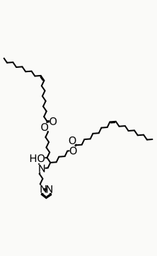 CCCCCCCC/C=C\CCCCCCCC(=O)OCCCCCC(O)C(CCCCOC(=O)CCCCCCC/C=C\CCCCCCCC)CN(C)CCCn1cccn1